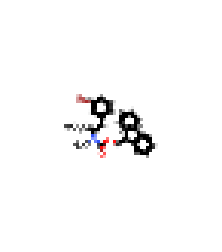 CN(C(=O)OCC1c2ccccc2-c2ccccc21)C(Cc1cccc(Br)c1)C(=O)O